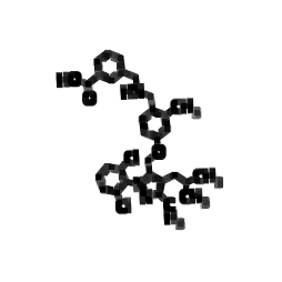 Cc1cc(OCc2c(CC(C)C)c(C)nn2-c2c(Cl)cccc2Cl)ccc1CNCc1cccc(C(=O)O)c1